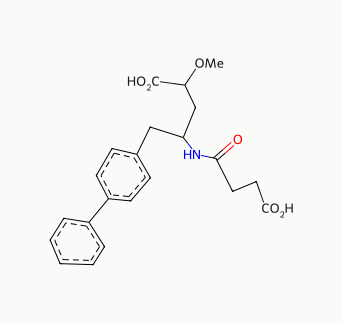 COC(CC(Cc1ccc(-c2ccccc2)cc1)NC(=O)CCC(=O)O)C(=O)O